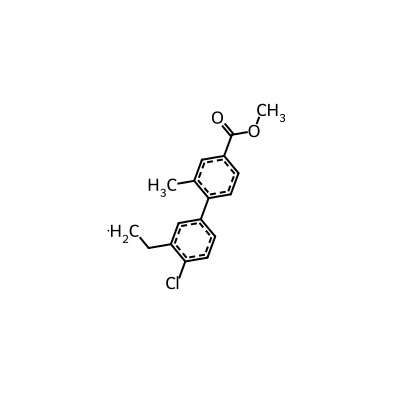 [CH2]Cc1cc(-c2ccc(C(=O)OC)cc2C)ccc1Cl